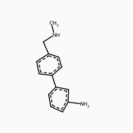 CNCc1ccc(-c2cccc(N)c2)cc1